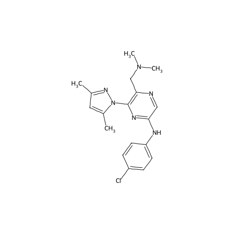 Cc1cc(C)n(-c2nc(Nc3ccc(Cl)cc3)cnc2CN(C)C)n1